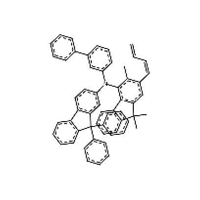 C=C/C=C\c1cc2c(c(N(c3cccc(-c4ccccc4)c3)c3ccc4c(c3)C(c3ccccc3)(c3ccccc3)c3ccccc3-4)c1C)-c1ccccc1C2(C)C